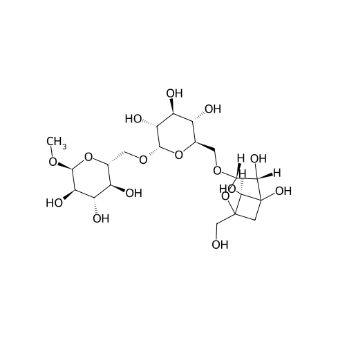 CO[C@H]1O[C@H](CO[C@H]2O[C@H](CO[C@H]3OC4(CO)CC(O)([C@@H]4O)[C@H]3O)[C@@H](O)[C@H](O)[C@H]2O)[C@@H](O)[C@H](O)[C@H]1O